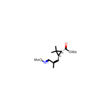 CO/N=C/C(C)=C[C@@H]1[C@@H](C(=O)OC)C1(C)C